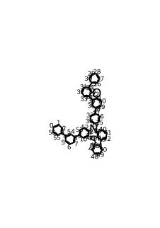 c1ccc(-c2cccc(-c3ccc(N(c4ccc(-c5ccc6oc7c(-c8ccccc8)cccc7c6c5)cc4)c4cccc5c4sc4ccccc45)cc3)c2)cc1